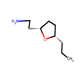 CCC[C@H]1CC[C@@H](CCN)O1